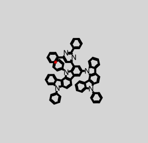 c1ccc(-c2cc(-c3cc(-n4c5ccccc5c5ccc6c(c7ccccc7n6-c6ccccc6)c54)cc4c5ccc6c(c7ccccc7n6-c6ccccc6)c5n(-c5ccccc5)c34)nc(-c3ccccc3)n2)cc1